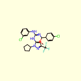 COC(/N=C(/Nc1cccc(Cl)c1)Nc1cc(C(F)(F)F)nn1C1CCCC1)C1C=CC(Cl)=CC1